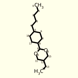 CCCCCC1CCC(C2OCC(CC)CO2)CC1